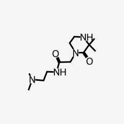 CN(C)CCNC(=O)CN1CCNC(C)(C)C1=O